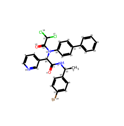 C[C@H](NC(=O)[C@@H](c1cccnc1)N(C(=O)C(Cl)Cl)c1ccc(-c2ccccc2)cc1)c1ccc(Br)cc1